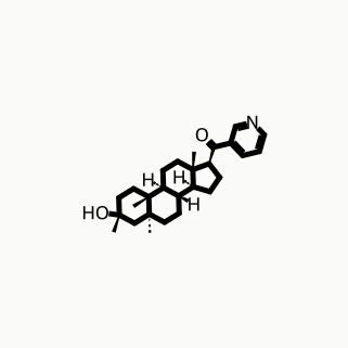 C[C@@]1(O)CC[C@]2(C)[C@H]3CC[C@]4(C)[C@@H](C(=O)c5cccnc5)CC[C@H]4[C@@H]3CC[C@@]2(C)C1